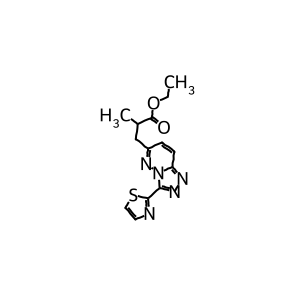 CCOC(=O)C(C)Cc1ccc2nnc(-c3nccs3)n2n1